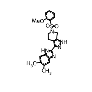 COc1ccccc1S(=O)(=O)N1CCc2c(-c3nc4cc(C)c(C)cc4[nH]3)n[nH]c2C1